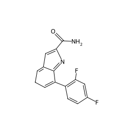 NC(=O)C1=CC2=CCC=C(c3ccc(F)cc3F)C2=N1